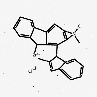 CC1=Cc2ccccc2C1c1c2c(cc3c1[Si]3(C)Cl)-c1ccccc1[CH]2[Zr+2].[Cl-].[Cl-]